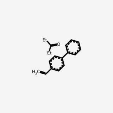 C=Cc1ccc(-c2ccccc2)cc1.CCC(=O)CC